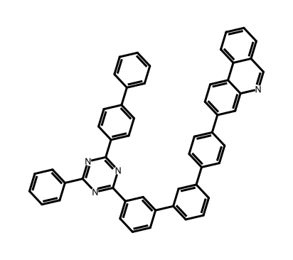 c1ccc(-c2ccc(-c3nc(-c4ccccc4)nc(-c4cccc(-c5cccc(-c6ccc(-c7ccc8c(c7)ncc7ccccc78)cc6)c5)c4)n3)cc2)cc1